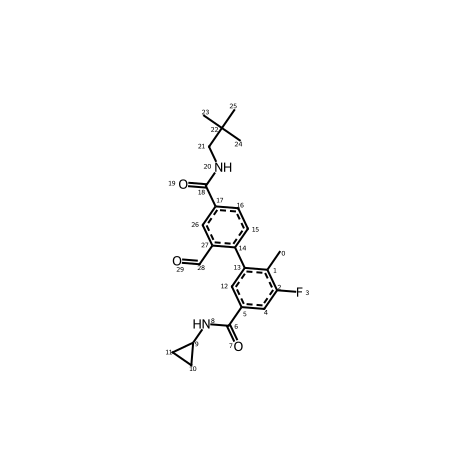 Cc1c(F)cc(C(=O)NC2CC2)cc1-c1ccc(C(=O)NCC(C)(C)C)cc1C=O